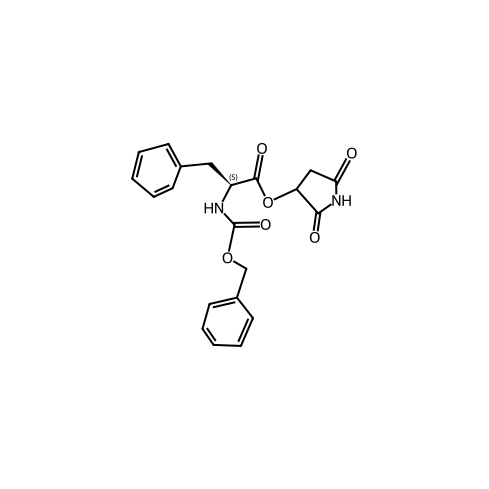 O=C1CC(OC(=O)[C@H](Cc2ccccc2)NC(=O)OCc2ccccc2)C(=O)N1